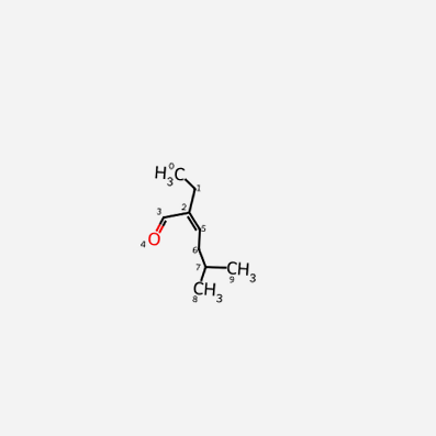 CCC(C=O)=CCC(C)C